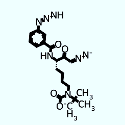 CC(C)(C)N(CCCC[C@H](NC(=O)c1cccc(N=[N+]=N)c1)C(=O)C=[N+]=[N-])C(=O)[O-]